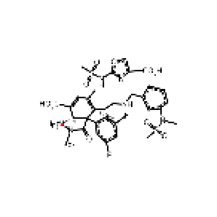 CCCN(CCC)C(=O)C1(c2cc(F)cc(F)c2)C([C@@H](CC)CNCc2cccc(N(C)S(C)(=O)=O)c2)=C(C)C=C(C(=O)O)[C@H]1N.CS(=O)(=O)Nc1nc(C(=O)O)co1